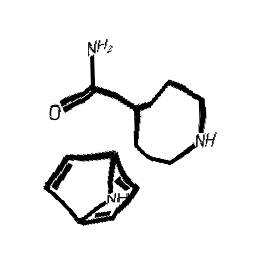 NC(=O)C1CCNCC1.c1cc2ccc1[nH]2